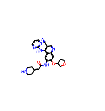 N#Cc1cnc2cc(OC3CCOC3)c(NC(=O)C=C3CCNCC3)cc2c1Nc1ncccn1